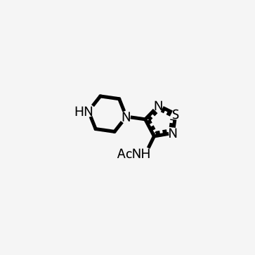 CC(=O)Nc1nsnc1N1CCNCC1